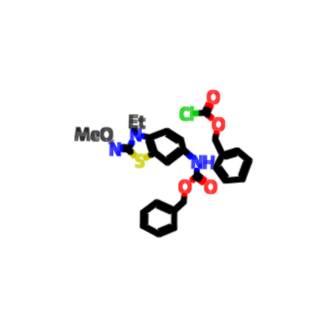 CCn1c(=NOC)sc2cc(NC(=O)OCc3ccccc3)ccc21.O=C(Cl)OCc1ccccc1